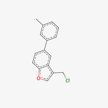 [CH2]c1cccc(-c2ccc3occ(CCl)c3c2)c1